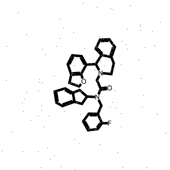 O=C(CN1CCc2ccccc2C1c1cccc2c1OCC2)N(Cc1ccccc1F)C1Cc2ccccc2C1